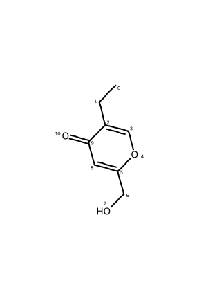 CCc1coc(CO)cc1=O